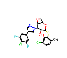 N#Cc1ccc(Cl)cc1SC1OC2COC2C(n2cc(-c3cc(F)c(Cl)c(F)c3)cn2)C1O